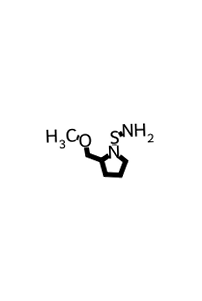 COCC1CCCN1SN